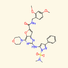 COc1ccc(CNC(=O)c2cc3nc(Nc4cc(-c5ccccc5)nn4S(=O)(=O)N(C)C)nc(N4CCOCC4)c3o2)c(OC)c1